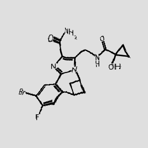 NC(=O)c1nc2n(c1CNC(=O)C1(O)CC1)C1CC(C1)c1cc(F)c(Br)cc1-2